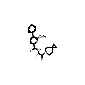 COc1nc(C(=O)N[C@@H](C)C(=O)N2CCC3(CC2)CC3)ccc1-c1ccccc1